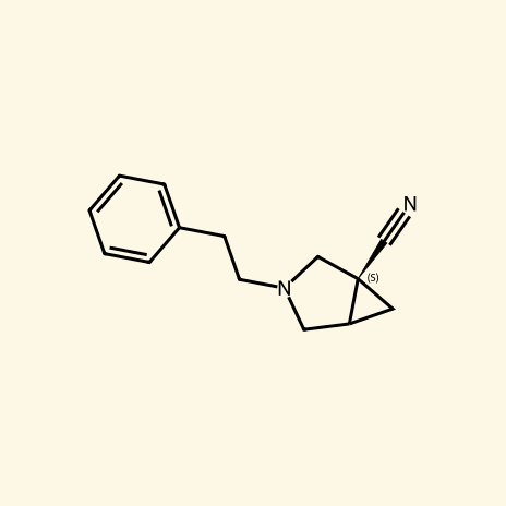 N#C[C@@]12CC1CN(CCc1ccccc1)C2